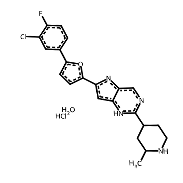 CC1CC(c2ncc3nc(-c4ccc(-c5ccc(F)c(Cl)c5)o4)cc-3[nH]2)CCN1.Cl.O